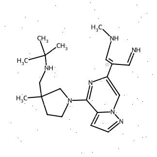 CN/C=C(\C=N)c1cn2nccc2c(N2CCC(C)(CNC(C)(C)C)C2)n1